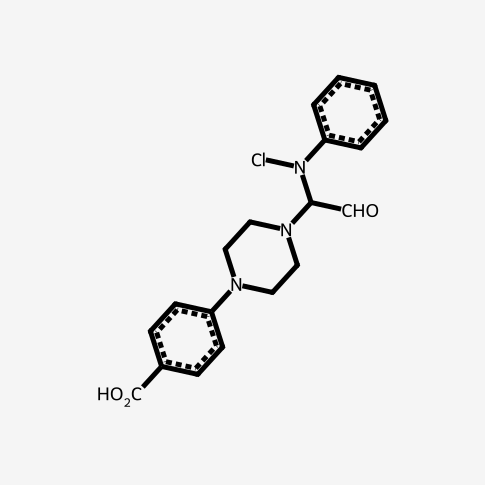 O=CC(N1CCN(c2ccc(C(=O)O)cc2)CC1)N(Cl)c1ccccc1